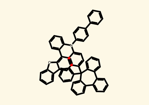 c1ccc(-c2ccc(N(c3ccc(C4(c5ccccc5)c5ccccc5-c5ccccc5-c5ccccc54)cc3)c3ccccc3-c3cccc4c3oc3ccccc34)cc2)cc1